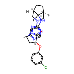 Cc1cc(N2C[C@H]3CC[C@@H](C2)[C@@H]3Nc2nc3n(n2)CC[C@@H]3Oc2cccc(Cl)c2)ncn1